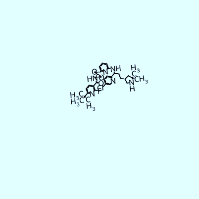 CC1(C)C[C@H](CCC(Nc2cccc(S(=O)(=O)NC(=O)c3ccc(C(C)(C)C)nc3F)n2)c2ccc(Cl)cn2)CN1